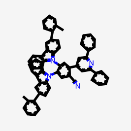 Cc1ccccc1-c1ccc2c(c1)c1ccccc1n2-c1cc(C#N)c(-c2cc(-c3ccccc3)nc(-c3ccccc3)c2)cc1-n1c2ccccc2c2cc(-c3ccccc3C)ccc21